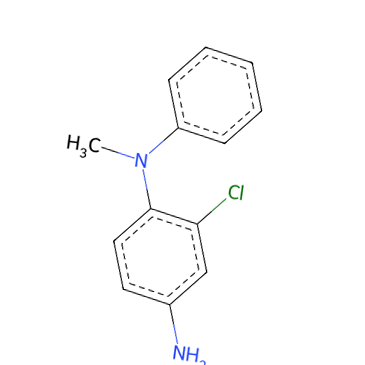 CN(c1ccccc1)c1ccc(N)cc1Cl